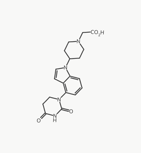 O=C(O)CN1CCC(n2ccc3c(N4CCC(=O)NC4=O)cccc32)CC1